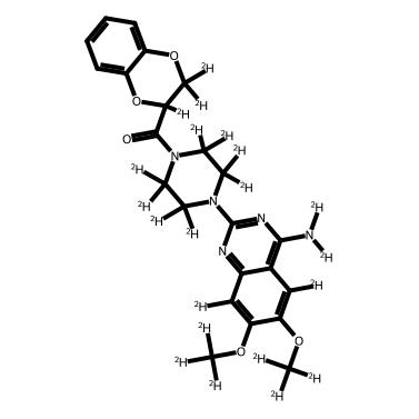 [2H]c1c(OC([2H])([2H])[2H])c(OC([2H])([2H])[2H])c([2H])c2c(N([2H])[2H])nc(N3C([2H])([2H])C([2H])([2H])N(C(=O)C4([2H])Oc5ccccc5OC4([2H])[2H])C([2H])([2H])C3([2H])[2H])nc12